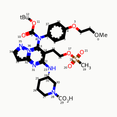 COCCOc1ccc(N(C(=O)OC(C)(C)C)c2c(CCOS(C)(=O)=O)c(N[C@H]3CCCN(C(=O)O)C3)nc3ccnn23)cc1